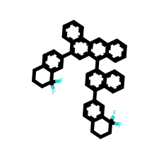 FC1(F)CCCc2ccc(-c3ccc(-c4c5ccccc5cc5c4cc(-c4ccc6c(c4)C(F)(F)CCC6)c4ccccc45)c4ccccc34)cc21